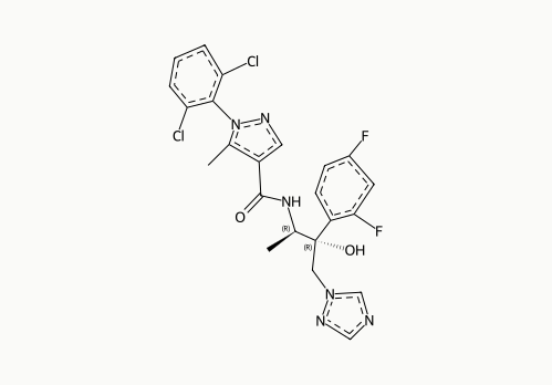 Cc1c(C(=O)N[C@H](C)[C@](O)(Cn2cncn2)c2ccc(F)cc2F)cnn1-c1c(Cl)cccc1Cl